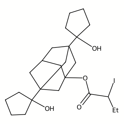 CCC(I)C(=O)OC12CC3CC(C4(O)CCCC4)(C1)CC(C1(O)CCCC1)(C3)C2